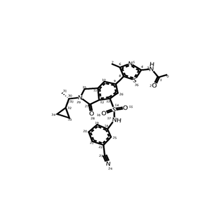 CC(=O)Nc1nc(C)c(-c2cc3c(c(S(=O)(=O)Nc4cccc(C#N)c4)c2)C(=O)N([C@@H](C)C2CC2)C3)s1